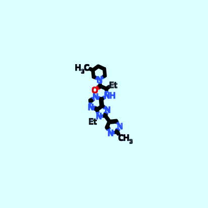 CCC(Nc1ncnc2c1nc(-c1cnc(C)nc1)n2CC)C(=O)N1CCCC(C)C1